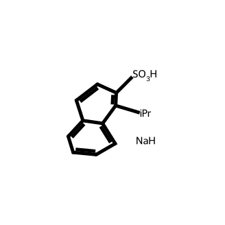 CC(C)c1c(S(=O)(=O)O)ccc2ccccc12.[NaH]